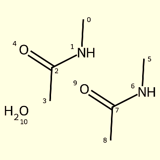 CNC(C)=O.CNC(C)=O.O